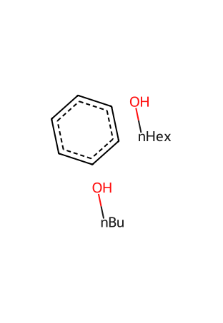 CCCCCCO.CCCCO.c1ccccc1